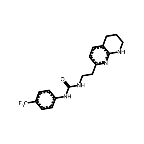 O=C(NCCc1ccc2c(n1)NCCC2)Nc1ccc(C(F)(F)F)cc1